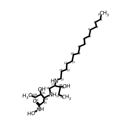 CCCCCCCCCCCCCCCCNC(CNC(CC(=O)NO)C(O)CC)C(O)CC